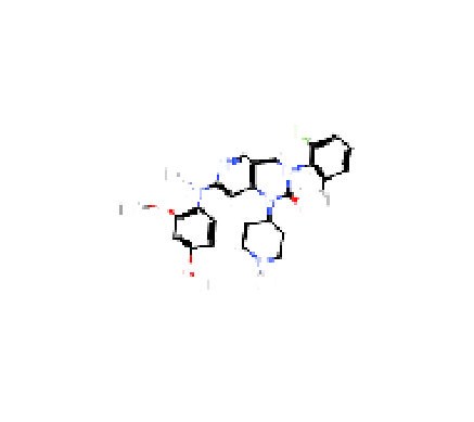 COc1ccc(N(C)c2cc3c(cn2)CN(c2c(C)cccc2F)C(=O)N3C2CCN(C)CC2)c(OC)c1